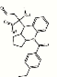 CCc1ccc(C(=O)N2c3ccccc3C(C(CC=O)(NC)C(=O)O)C3CCCC32)cc1